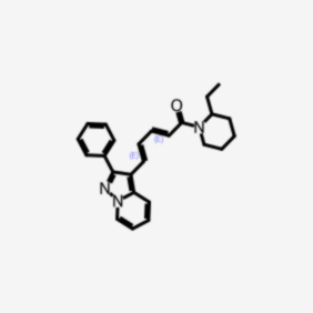 CCC1CCCCN1C(=O)/C=C/C=C/c1c(-c2ccccc2)nn2ccccc12